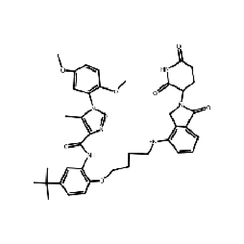 COc1ccc(OC)c(-n2nnc(C(=O)Nc3cc(C(C)(C)C)ccc3OCCCCNc3cccc4c3CN(C3CCC(=O)NC3=O)C4=O)c2C)c1